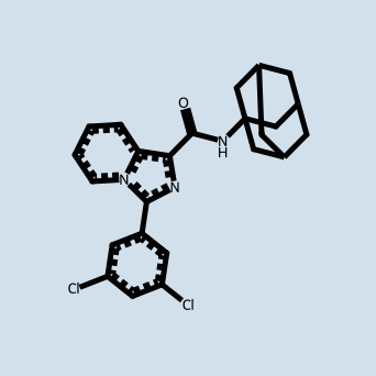 O=C(NC12CC3CC(CC(C3)C1)C2)c1nc(-c2cc(Cl)cc(Cl)c2)n2ccccc12